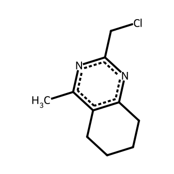 Cc1nc(CCl)nc2c1CCCC2